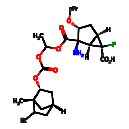 CCCO[C@@H]1C[C@@H]2[C@H]([C@]1(N)C(=O)OC(C)OC(=O)O[C@@H]1C[C@@H]3CC(CC)[C@@]1(C)C3)[C@@]2(F)C(=O)O